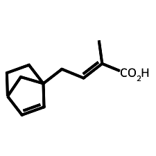 CC(=CCC12C=CC(CC1)C2)C(=O)O